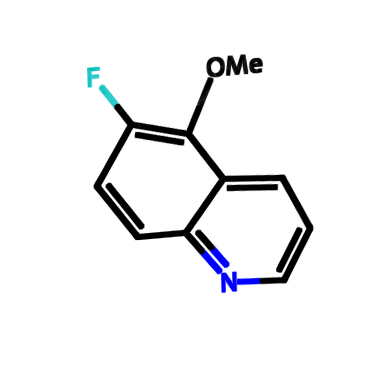 COc1c(F)ccc2ncccc12